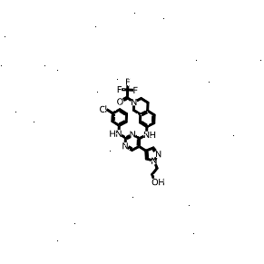 O=C(N1CCc2ccc(Nc3nc(Nc4cccc(Cl)c4)ncc3-c3cnn(CCO)c3)cc2C1)C(F)(F)F